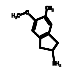 COc1cc2c(cc1C)CC(N)C2